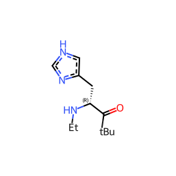 CCN[C@H](Cc1c[nH]cn1)C(=O)C(C)(C)C